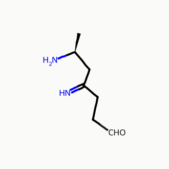 C[C@H](N)CC(=N)CCC=O